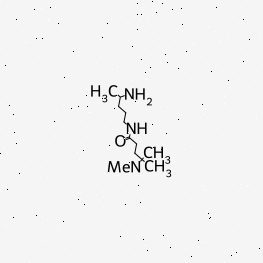 CNC(C)(C)CCC(=O)NCCCC(C)N